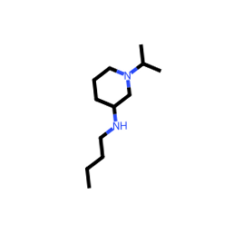 CCCCNC1CCCN(C(C)C)C1